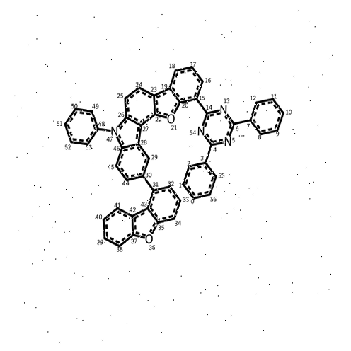 c1ccc(-c2nc(-c3ccccc3)nc(-c3cccc4c3oc3c4ccc4c3c3cc(-c5cccc6oc7ccccc7c56)ccc3n4-c3ccccc3)n2)cc1